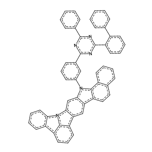 c1ccc(-c2nc(-c3cccc(-n4c5cc6c(cc5c5ccc7ccccc7c54)c4cccc5c7ccccc7n6c54)c3)nc(-c3ccccc3-c3ccccc3)n2)cc1